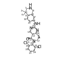 CC1(C)CNCc2cc(Nc3ncc4c(n3)SCN(c3c(Cl)cccc3Cl)C4=O)ccc21